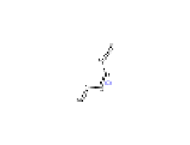 C=C/C=C\C=C